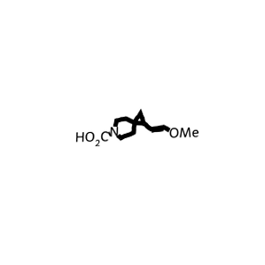 COC=CC1CC12CCN(C(=O)O)CC2